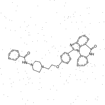 O=C(NN1CCN(CCOc2ccc(-c3nc4cccc5c4n3-c3ccccc3NC5=O)cc2)CC1)c1ccccc1